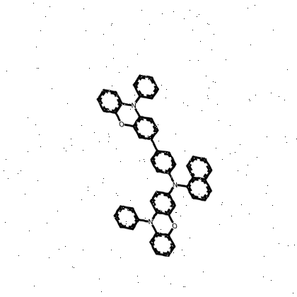 c1ccc(N2c3ccccc3Oc3cc(-c4ccc(N(c5ccc6c(c5)Oc5ccccc5N6c5ccccc5)c5cccc6ccccc56)cc4)ccc32)cc1